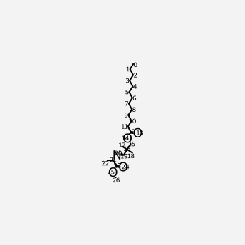 CCCCCCCCCCCCC(=O)OCC(C)(C)/C=N/C(C)C(=O)OC